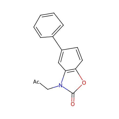 CC(=O)Cn1c(=O)oc2ccc(-c3ccccc3)cc21